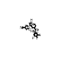 N#CC1CC(=O)N(C2=C3CC(C(=O)Nc4cc(F)c(F)c(F)c4)CCN3NC2)C1